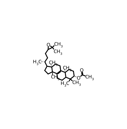 CC(=O)O[C@H]1CC[C@]2(C)C3=C(CCC2C1(C)C)[C@]1(C)CCC([C@H](C)CCC2OC2(C)C)[C@@]1(C)CC3